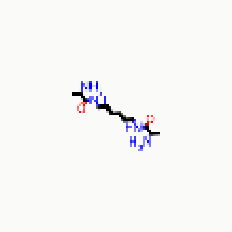 CC(N)C(=O)NCCCCCCNC(=O)C(C)N